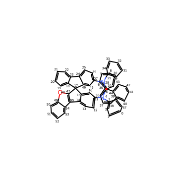 c1ccc(N(c2ccccc2)c2ccc3c(c2)C2(c4ccccc4-c4ccc(N(c5ccccc5)c5cccc6ccccc56)cc42)c2oc4ccccc4c2-3)cc1